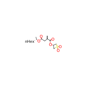 C=C(CC(=O)O[C@@H](C)CCCCCC)C(=O)OC1CS(=O)(=O)C1